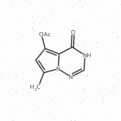 CC(=O)Oc1cc(C)n2nc[nH]c(=O)c12